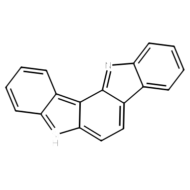 c1ccc2c(c1)N=c1c-2ccc2c1=c1ccccc1=[SiH]2